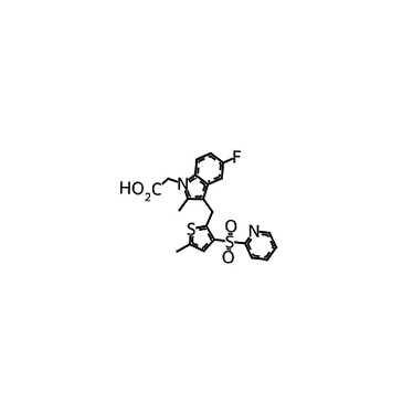 Cc1cc(S(=O)(=O)c2ccccn2)c(Cc2c(C)n(CC(=O)O)c3ccc(F)cc23)s1